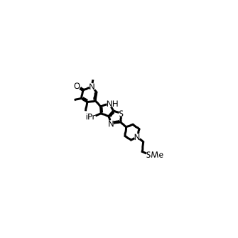 CSCCN1CCC(c2nc3c(C(C)C)c(-c4cn(C)c(=O)c(C)c4C)[nH]c3s2)CC1